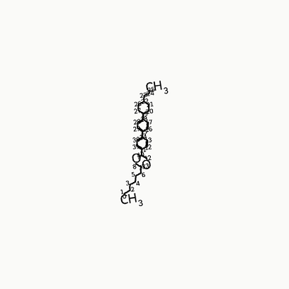 CCCCCCCC1COC(c2ccc(-c3ccc(C4CCC(CCC)CC4)cc3)cc2)CO1